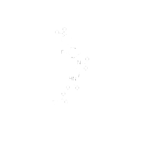 O=C(NC[C@H]1CN(c2ccc(C3CCS(=O)(=O)CC3)c(F)c2)C(=O)O1)OCOC(=O)C1CC1